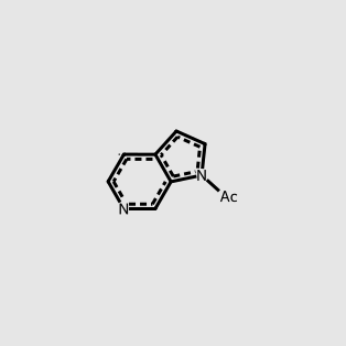 CC(=O)n1ccc2[c]cncc21